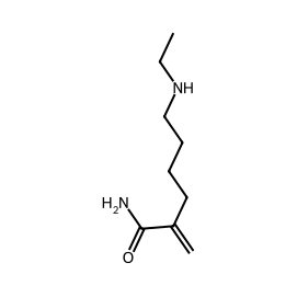 C=C(CCCCNCC)C(N)=O